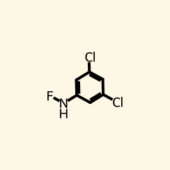 FNc1cc(Cl)cc(Cl)c1